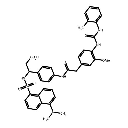 COc1cc(CC(=O)Nc2ccc(C(CC(=O)O)NS(=O)(=O)c3cccc4c(N(C)C)cccc34)cc2)ccc1NC(=O)Nc1ccccc1C